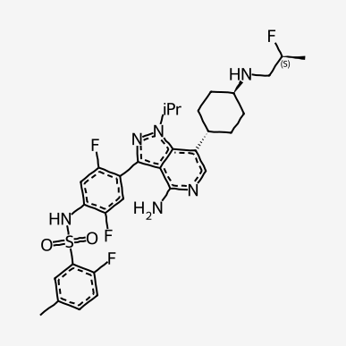 Cc1ccc(F)c(S(=O)(=O)Nc2cc(F)c(-c3nn(C(C)C)c4c3c(N)ncc4[C@H]3CC[C@H](NC[C@H](C)F)CC3)cc2F)c1